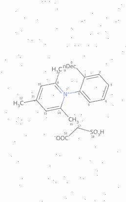 CCCCCCCCCCc1ccccc1-[n+]1c(C)cc(C)cc1C.O=C([O-])CS(=O)(=O)O